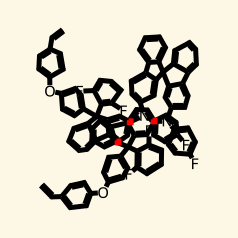 C=Cc1ccc(Oc2ccc(C3(c4c(F)cccc4F)c4ccccc4-c4ccc(N(c5ccc(F)cc5)c5ccc6c(c5)C5(c7ccccc7-6)c6ccccc6-c6ccc(N(c7ccc(F)cc7)c7ccc8c(c7)C(c7ccc(Oc9ccc(C=C)cc9)cc7)(c7c(F)cccc7F)c7ccccc7-8)cc65)cc43)cc2)cc1